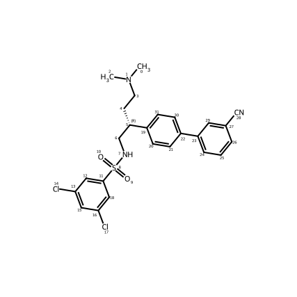 CN(C)CC[C@@H](CNS(=O)(=O)c1cc(Cl)cc(Cl)c1)c1ccc(-c2cccc(C#N)c2)cc1